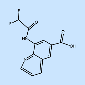 O=C(O)c1cc(NC(=O)C(F)F)c2ncccc2c1